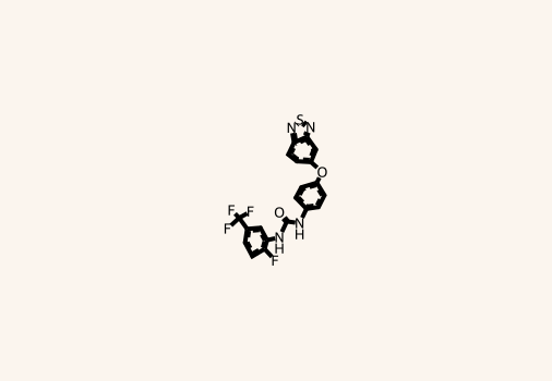 O=C(Nc1ccc(Oc2ccc3nsnc3c2)cc1)Nc1cc(C(F)(F)F)ccc1F